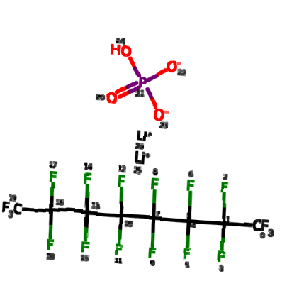 FC(F)(F)C(F)(F)C(F)(F)C(F)(F)C(F)(F)C(F)(F)C(F)(F)C(F)(F)F.O=P([O-])([O-])O.[Li+].[Li+]